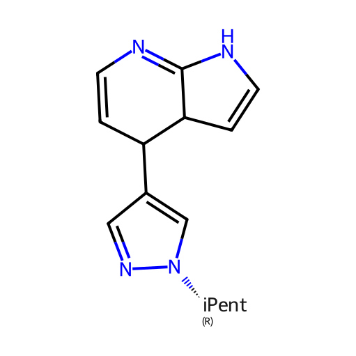 CCC[C@@H](C)n1cc(C2C=CN=C3NC=CC32)cn1